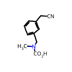 CN(Cc1cccc(CC#N)c1)C(=O)O